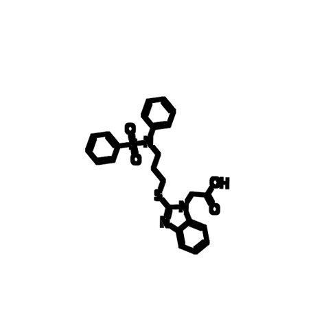 O=C(O)Cn1c(SCCCN(c2ccccc2)S(=O)(=O)c2ccccc2)nc2ccccc21